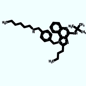 CCCCCCNCc1ccc(Cn2c(CCCC)nc3c(NC(C)(C)C)nc4ccccc4c32)cc1